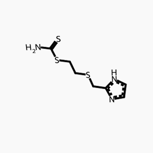 NC(=S)SCCSCc1ncc[nH]1